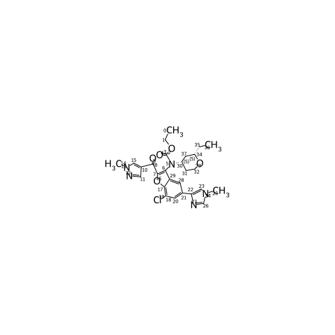 CCOC(=O)N(c1c(C(=O)c2cnn(C)c2)oc2c(Cl)cc(-c3cn(C)cn3)cc12)[C@H]1CCO[C@@H](CC)C1